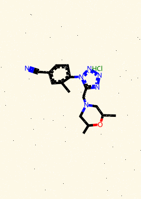 Cc1cc(C#N)ccc1-n1nnnc1CN1CC(C)OC(C)C1.Cl